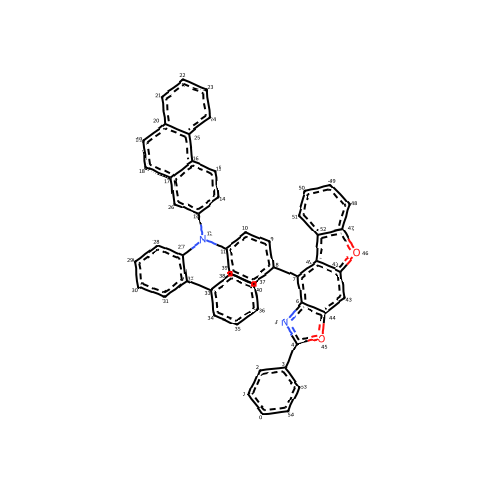 c1ccc(-c2nc3c(-c4ccc(N(c5ccc6c(ccc7ccccc76)c5)c5ccccc5-c5ccccc5)cc4)c4c(cc3o2)oc2ccccc24)cc1